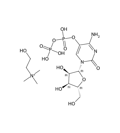 C[N+](C)(C)CCO.Nc1nc(=O)n([C@@H]2O[C@H](CO)[C@@H](O)[C@H]2O)cc1OP(=O)(O)OP(=O)(O)O